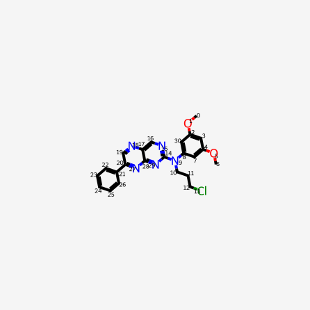 COc1cc(OC)cc(N(CCCCl)c2ncc3ncc(-c4ccccc4)nc3n2)c1